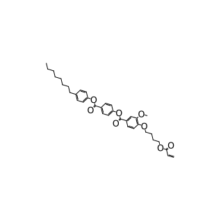 C=CC(=O)OCCCCOc1ccc(C(=O)Oc2ccc(C(=O)Oc3ccc(CCCCCCCC)cc3)cc2)cc1OC